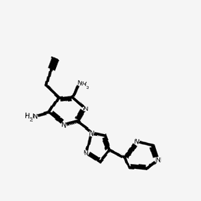 C#CCc1c(N)nc(-n2cc(-c3ccncn3)cn2)nc1N